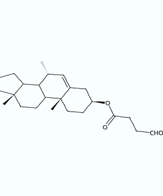 C[C@@H]1C=C2C[C@@H](OC(=O)CCC=O)CC[C@]2(C)C2CC[C@]3(C)CCCC3C21